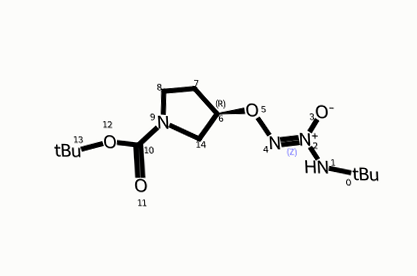 CC(C)(C)N/[N+]([O-])=N/O[C@@H]1CCN(C(=O)OC(C)(C)C)C1